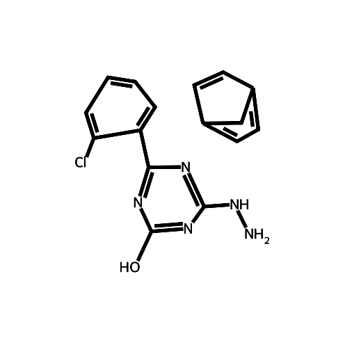 C1=CC2=CC=C1C2.NNc1nc(O)nc(-c2ccccc2Cl)n1